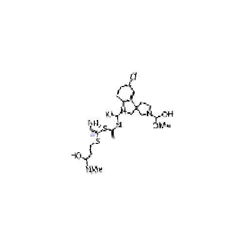 C=C(NC(O)N1CC2(CCN(C(O)OC)C2)C2=CC(Cl)CCC21)S/C(=C\N)SCCC(O)NC